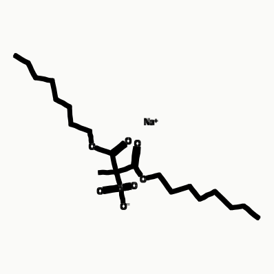 CCCCCCCCOC(=O)C(C)(C(=O)OCCCCCCCC)S(=O)(=O)[O-].[Na+]